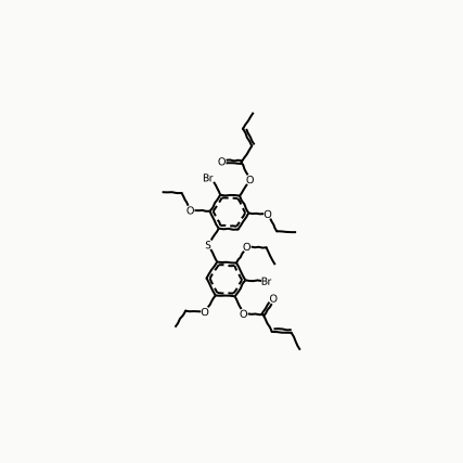 CC=CC(=O)Oc1c(OCC)cc(Sc2cc(OCC)c(OC(=O)C=CC)c(Br)c2OCC)c(OCC)c1Br